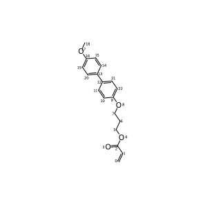 C=CC(=O)OCCCOc1ccc(-c2ccc(OC)cc2)cc1